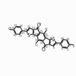 Cc1ccc(-c2cc3c(=O)c4c(C)c5c(c(C)c4c3s2)c(=O)c2cc(-c3ccc(C)cc3)sc25)cc1